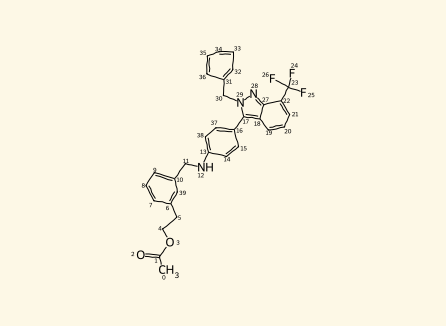 CC(=O)OCCc1cccc(CNc2ccc(-c3c4cccc(C(F)(F)F)c4nn3Cc3ccccc3)cc2)c1